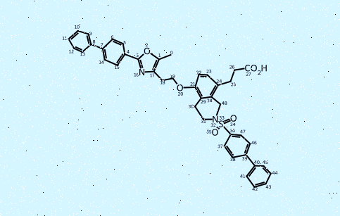 Cc1oc(-c2ccc(-c3ccccc3)cc2)nc1CCOc1ccc(CCC(=O)O)c2c1CCN(S(=O)(=O)c1ccc(-c3ccccc3)cc1)C2